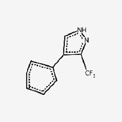 FC(F)(F)c1n[nH][c]c1-c1ccccc1